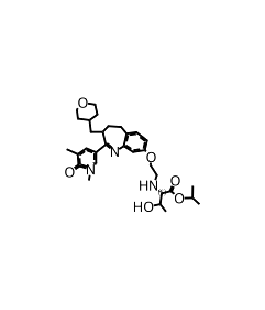 Cc1cc(C2=Nc3cc(OCCN[C@H](C(=O)OC(C)C)C(C)O)ccc3CCC2CC2CCOCC2)cn(C)c1=O